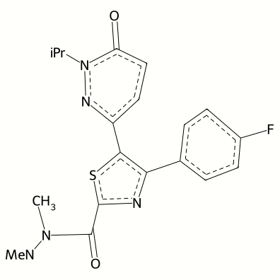 CNN(C)C(=O)c1nc(-c2ccc(F)cc2)c(-c2ccc(=O)n(C(C)C)n2)s1